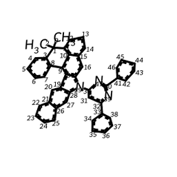 CC1(C)c2ccccc2-c2c3c1cccc3cc1c2c2cc3ccccc3cc2n1-c1cc(-c2ccccc2)nc(-c2ccccc2)n1